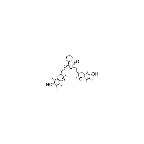 Cc1c(C)c2c(c(C)c1O)CC(CCOC(=O)C1CCCCC1C(=O)OCCC1Cc3c(C)c(O)c(C)c(C)c3OC1C)C(C)O2